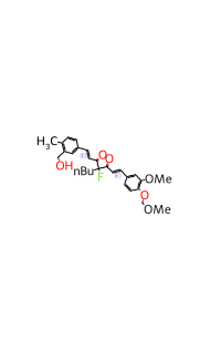 CCCCC(F)(C(=O)/C=C/c1ccc(C)c(CO)c1)C(=O)/C=C/c1ccc(OCOC)c(OC)c1